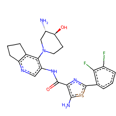 Nc1sc(-c2cccc(F)c2F)nc1C(=O)Nc1cnc2c(c1N1CC[C@H](O)[C@@H](N)C1)CCC2